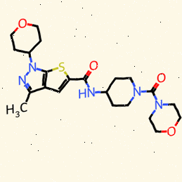 Cc1nn(C2CCOCC2)c2sc(C(=O)NC3CCN(C(=O)N4CCOCC4)CC3)cc12